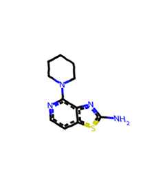 Nc1nc2c(N3CCCCC3)nccc2s1